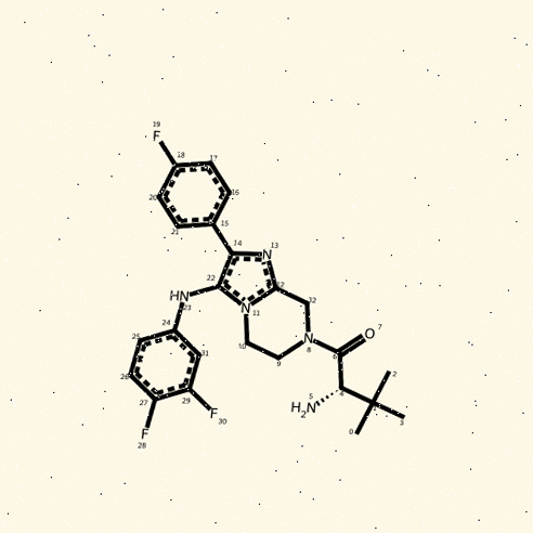 CC(C)(C)[C@H](N)C(=O)N1CCn2c(nc(-c3ccc(F)cc3)c2Nc2ccc(F)c(F)c2)C1